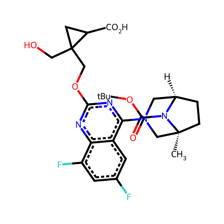 CC(C)(C)OC(=O)N1[C@@H]2CC[C@@]1(C)CN(c1nc(OCC3(CO)CC3C(=O)O)nc3c(F)cc(F)cc13)C2